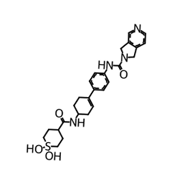 O=C(NC1CC=C(c2ccc(NC(=O)N3Cc4ccncc4C3)cc2)CC1)C1CCS(O)(O)CC1